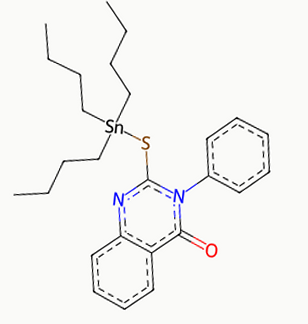 CCC[CH2][Sn]([CH2]CCC)([CH2]CCC)[S]c1nc2ccccc2c(=O)n1-c1ccccc1